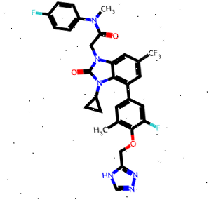 Cc1cc(-c2cc(C(F)(F)F)cc3c2n(C2CC2)c(=O)n3CC(=O)N(C)c2ccc(F)cc2)cc(F)c1OCc1nnc[nH]1